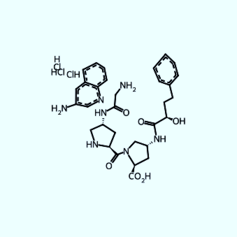 Cl.Cl.Cl.NCC(=O)N[C@H]1CN[C@H](C(=O)N2C[C@H](NC(=O)[C@H](O)CCc3ccccc3)C[C@H]2C(=O)O)C1.Nc1cnc2ccccc2c1